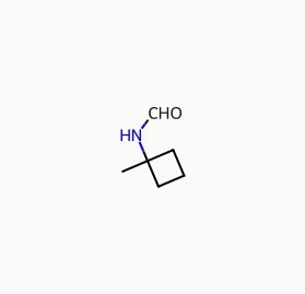 CC1(NC=O)CCC1